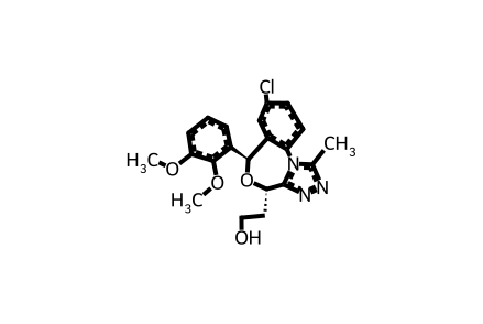 COc1cccc([C@@H]2O[C@@H](CCO)c3nnc(C)n3-c3ccc(Cl)cc32)c1OC